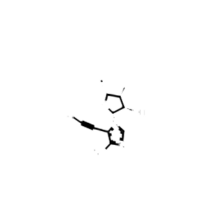 CCC(C)C#Cc1c(C#N)ncn1[C@@H]1O[C@H](CO)[C@@H](O)[C@H]1O